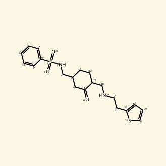 O=C1CC(CNS(=O)(=O)c2ccccc2)CCC1CNCCc1cccs1